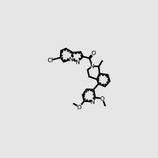 COc1ccc(-c2cccc3c2CCN(C(=O)c2cc4ccc(Cl)cn4n2)C3C)c(OC)n1